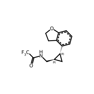 O=C(NC[C@@H]1C[C@H]1c1cccc2c1CCO2)C(F)(F)F